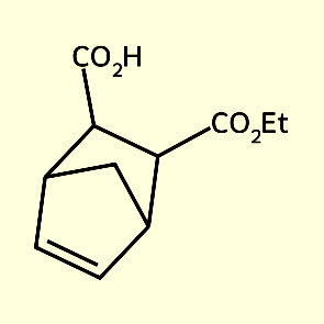 CCOC(=O)C1C2C=CC(C2)C1C(=O)O